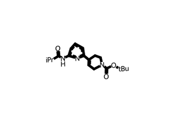 CC(C)C(=O)Nc1cccc(C2=CCN(C(=O)OC(C)(C)C)CC2)n1